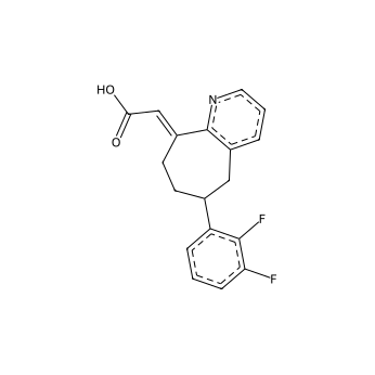 O=C(O)C=C1CCC(c2cccc(F)c2F)Cc2cccnc21